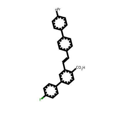 CCCc1ccc(-c2ccc(C=Cc3cc(-c4ccc(F)cc4)ccc3C(=O)O)cc2)cc1